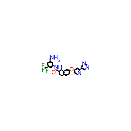 NCc1cc(NC(=O)C2CCc3ccc(Oc4ccnc(-c5cncnc5)c4)cc3C2)cc(C(F)(F)F)c1